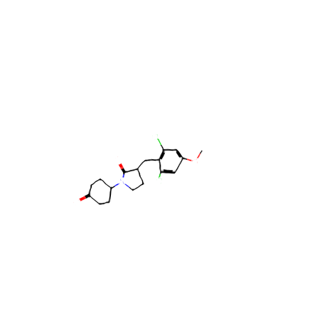 COc1cc(Cl)c(CC2CCN(C3CCC(=O)CC3)C2=O)c(Cl)c1